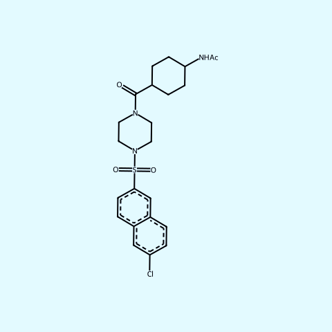 CC(=O)NC1CCC(C(=O)N2CCN(S(=O)(=O)c3ccc4cc(Cl)ccc4c3)CC2)CC1